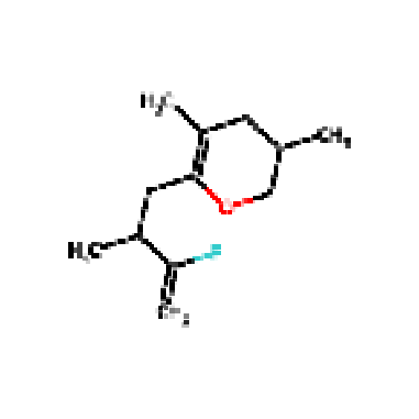 C=C(F)C(C)CC1=C(C)CC(C)CO1